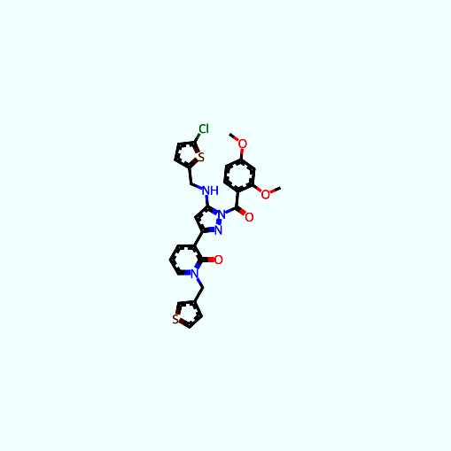 COc1ccc(C(=O)n2nc(-c3cccn(Cc4ccsc4)c3=O)cc2NCc2ccc(Cl)s2)c(OC)c1